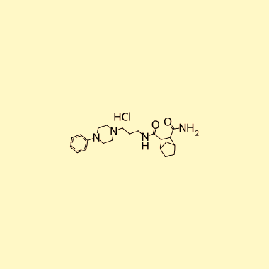 Cl.NC(=O)C1C2CCC(C2)C1C(=O)NCCCN1CCN(c2ccccc2)CC1